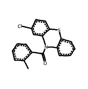 Cc1ccccc1C(=O)N1c2ccccc2Sc2ccc(Cl)cc21